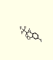 CN(C(=O)C(F)(F)F)c1ccc(I)cc1Cl